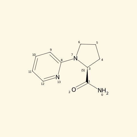 NC(=O)[C@@H]1CCCN1c1ccccn1